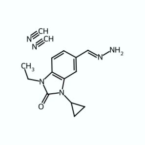 C#N.C#N.CCn1c(=O)n(C2CC2)c2cc(C=NN)ccc21